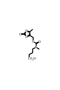 Cc1oc(=O)oc1COC(=O)N(C)CCCC(=O)O